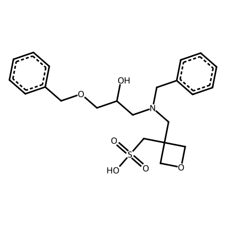 O=S(=O)(O)CC1(CN(Cc2ccccc2)CC(O)COCc2ccccc2)COC1